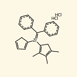 CC1=C(C)C(C)=[C]([Zr]([C]2=CC=CC2)=[C](c2ccccc2)c2ccccc2)C1.Cl.Cl